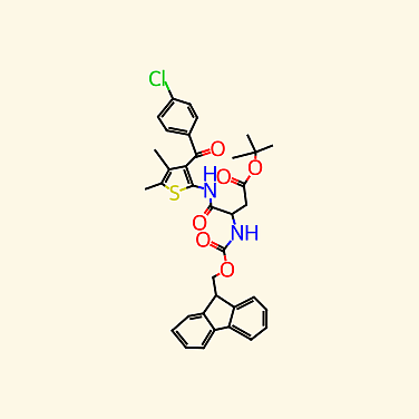 Cc1sc(NC(=O)C(CC(=O)OC(C)(C)C)NC(=O)OCC2c3ccccc3-c3ccccc32)c(C(=O)c2ccc(Cl)cc2)c1C